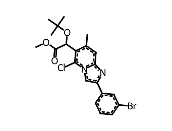 COC(=O)C(OC(C)(C)C)c1c(C)cc2nc(-c3cccc(Br)c3)cn2c1Cl